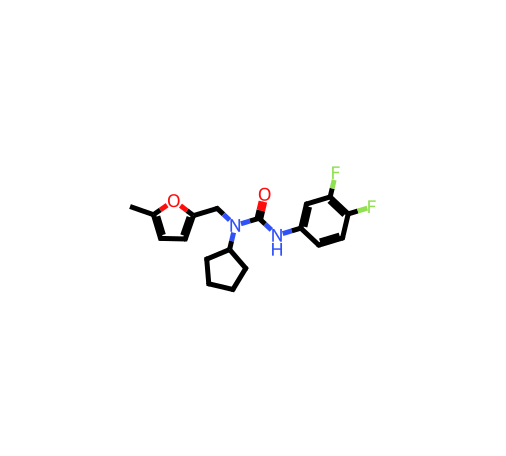 Cc1ccc(CN(C(=O)Nc2ccc(F)c(F)c2)C2CCCC2)o1